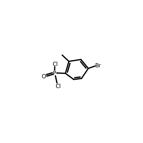 Cc1cc(Br)ccc1P(=O)(Cl)Cl